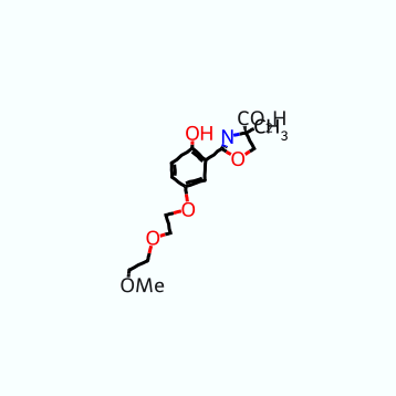 COCCOCCOc1ccc(O)c(C2=N[C@@](C)(C(=O)O)CO2)c1